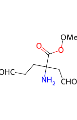 COOC(=O)C(N)(CC=O)CCC=O